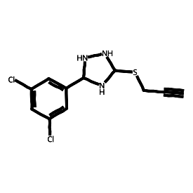 C#CCSC1NNC(c2cc(Cl)cc(Cl)c2)N1